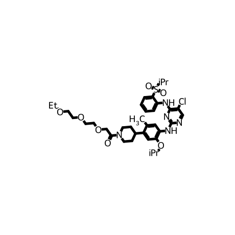 CCOCCOCCOCC(=O)N1CCC(c2cc(OC(C)C)c(Nc3ncc(Cl)c(Nc4ccccc4S(=O)(=O)C(C)C)n3)cc2C)CC1